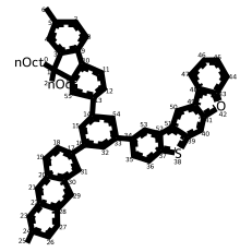 CCCCCCCCC1(CCCCCCCC)c2cc(C)ccc2-c2ccc(-c3cc(-c4ccc5cc6cc(C)ccc6cc5c4)cc(-c4ccc5sc6cc7oc8ccccc8c7cc6c5c4)c3)cc21